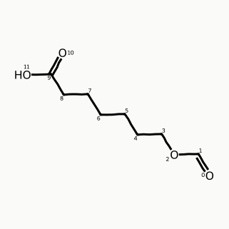 O=COCCCCCCC(=O)O